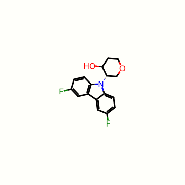 O[C@H]1CCOC[C@@H]1n1c2ccc(F)cc2c2cc(F)ccc21